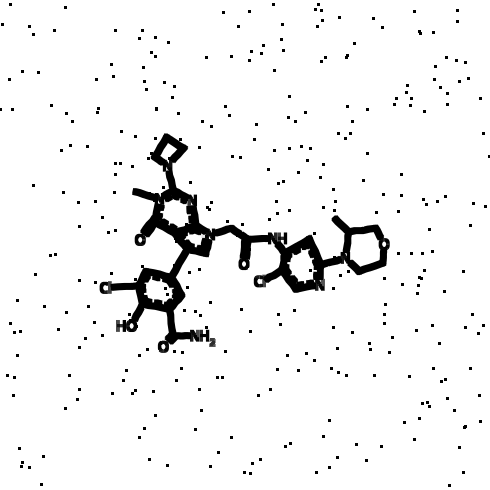 CC1COCCN1c1cc(NC(=O)Cn2cc(-c3cc(Cl)c(O)c(C(N)=O)c3)c3c(=O)n(C)c(N4CCC4)nc32)c(Cl)cn1